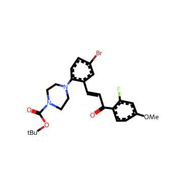 COc1ccc(C(=O)C=Cc2cc(Br)ccc2N2CCN(C(=O)OC(C)(C)C)CC2)c(F)c1